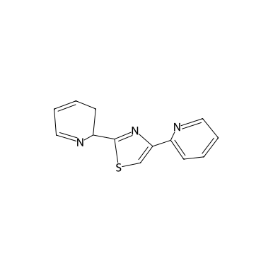 C1=CCC(c2nc(-c3ccccn3)cs2)N=C1